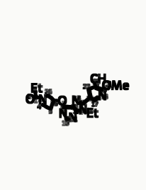 CCC(=O)N1CC[C@H](Oc2ncnc3c2nc(-c2cnc(OC)c(C)c2)n3CC)C1